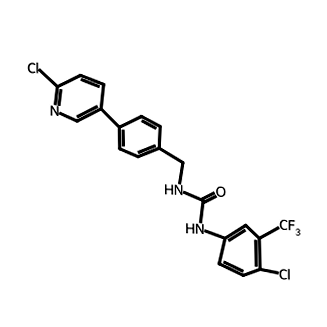 O=C(NCc1ccc(-c2ccc(Cl)nc2)cc1)Nc1ccc(Cl)c(C(F)(F)F)c1